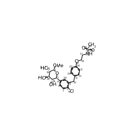 CO[C@H]1O[C@@H](c2ccc(Cl)c(Cc3ccc(OCCNS(C)(=O)=O)cc3)c2)[C@H](O)[C@@H](O)[C@@H]1O